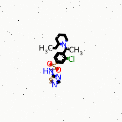 CCC1CCCCN1[C@@H](C)c1ccc(S(=O)(=O)Nc2ncns2)cc1Cl